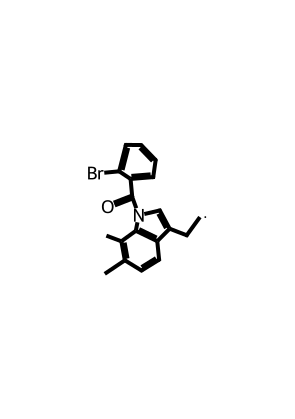 [CH2]Cc1cn(C(=O)c2ccccc2Br)c2c(C)c(C)ccc12